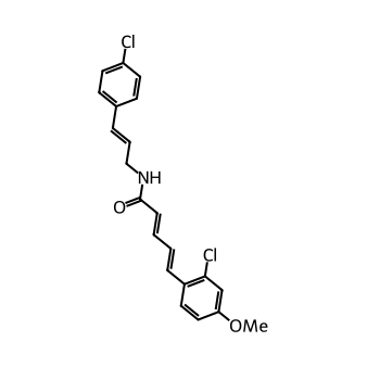 COc1ccc(C=CC=CC(=O)NCC=Cc2ccc(Cl)cc2)c(Cl)c1